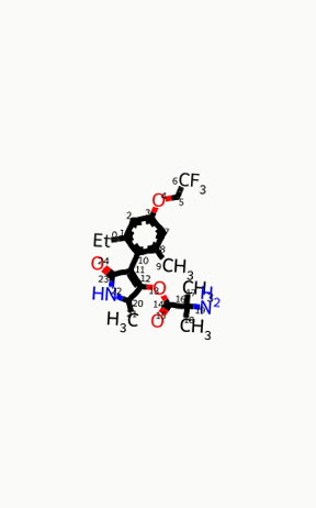 CCc1cc(OCC(F)(F)F)cc(C)c1C1=C(OC(=O)C(C)(C)N)C(C)NC1=O